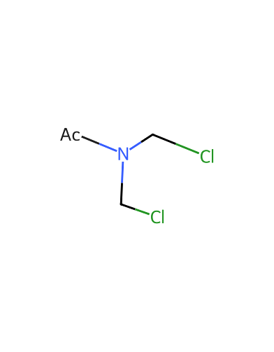 CC(=O)N(CCl)CCl